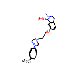 COc1ccc(N2CCN(CCCOc3ccc4c(c3)C(O)N(C)CC4)CC2)cc1